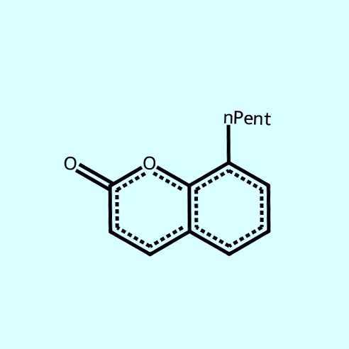 CCCCCc1cccc2ccc(=O)oc12